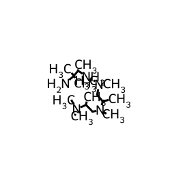 CC(CN(C)C(C)CN(C)C)N(C)C.CC(N)C(C)(C)N